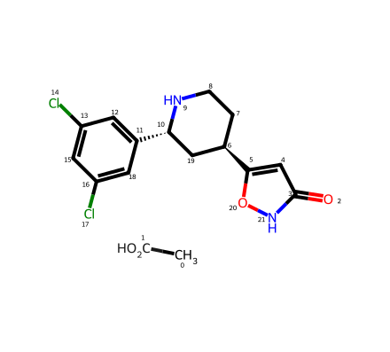 CC(=O)O.O=c1cc([C@@H]2CCN[C@@H](c3cc(Cl)cc(Cl)c3)C2)o[nH]1